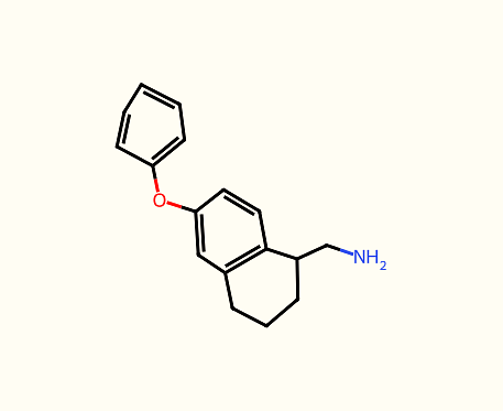 NCC1CCCc2cc(Oc3ccccc3)ccc21